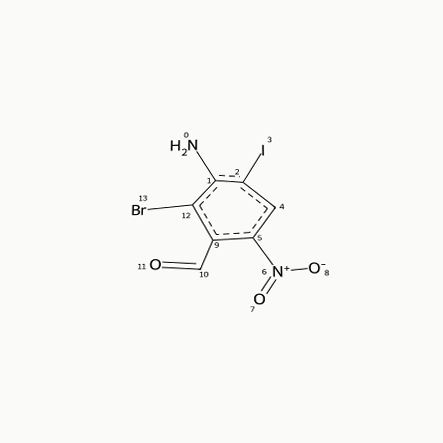 Nc1c(I)cc([N+](=O)[O-])c(C=O)c1Br